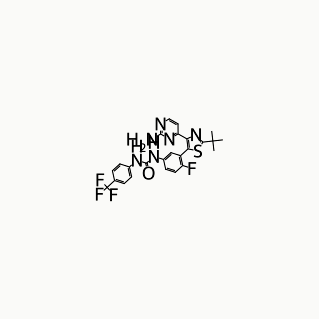 CC(C)(C)c1nc(-c2ccnc(N)n2)c(-c2cc(NC(=O)Nc3ccc(C(F)(F)F)cc3)ccc2F)s1